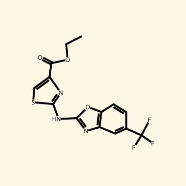 CCOC(=O)c1csc(Nc2nc3cc(C(F)(F)F)ccc3o2)n1